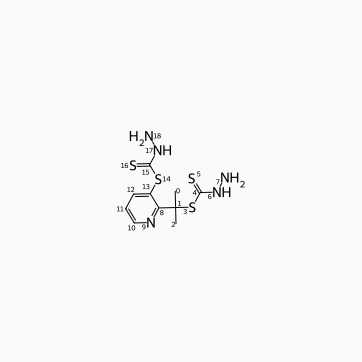 CC(C)(SC(=S)NN)c1ncccc1SC(=S)NN